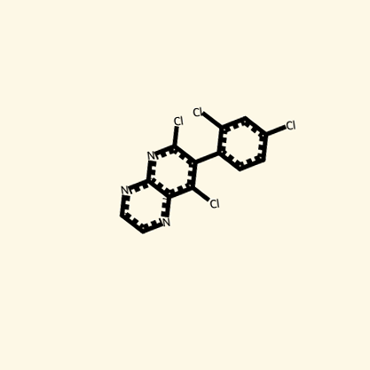 Clc1ccc(-c2c(Cl)nc3nccnc3c2Cl)c(Cl)c1